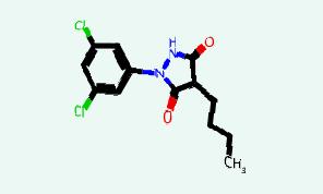 CCCCC1C(=O)NN(c2cc(Cl)cc(Cl)c2)C1=O